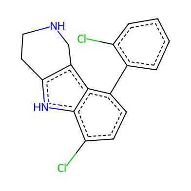 Clc1ccccc1-c1ccc(Cl)c2[nH]c3c(c12)CNCC3